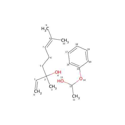 C=CC(C)(O)CCC=C(C)C.CC(O)Oc1ccccc1